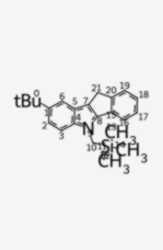 CC(C)(C)c1ccc2c(c1)c1c(n2C[Si](C)(C)C)-c2ccccc2C1